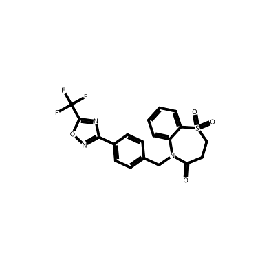 O=C1CCS(=O)(=O)c2ccccc2N1Cc1ccc(-c2noc(C(F)(F)F)n2)cc1